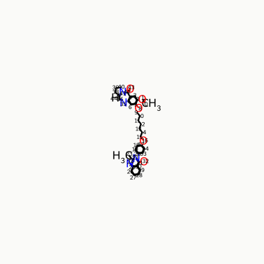 COc1cc2c(cc1OCCCCCCCOc1ccc(-n3c(C)nc4ccccc4c3=O)cc1)N=C[C@@H]1CCCN1C2=O